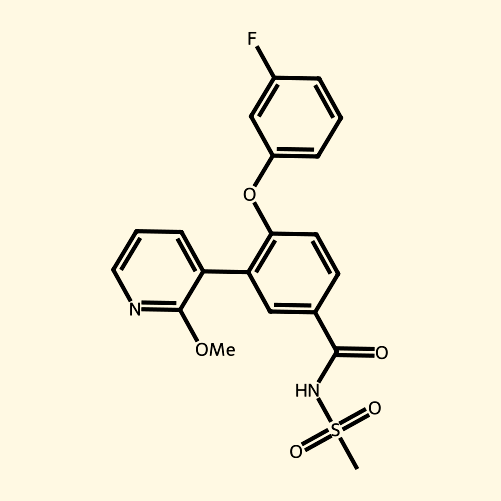 COc1ncccc1-c1cc(C(=O)NS(C)(=O)=O)ccc1Oc1cccc(F)c1